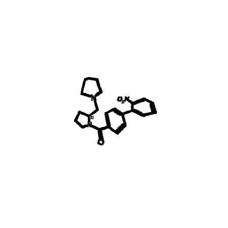 O=C(c1ccc(-c2ccccc2[N+](=O)[O-])cc1)N1CCC[C@H]1CN1CCCC1